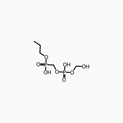 CCCOP(=O)(O)COP(=O)(O)OCO